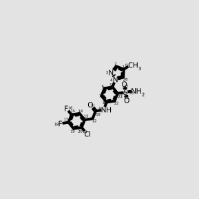 Cc1cnn(-c2ccc(NC(=O)Cc3cc(F)c(F)cc3Cl)cc2S(N)(=O)=O)c1